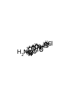 C[C@H]1C(C=O)N(Cc2ccc3c(N)cnnc3c2)CCN1C(=O)C=Cc1ccc(Cl)s1